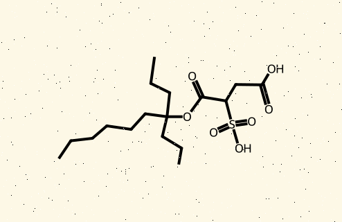 CCCCCCC(CCC)(CCC)OC(=O)C(CC(=O)O)S(=O)(=O)O